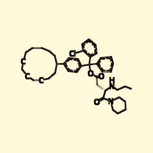 CCCN[C@@H](CC(=O)OC(c1ccccc1)(c1ccc(C2CCCCCCCCCCCC2)cc1)c1ccccc1Cl)C(=O)N1CCCCC1